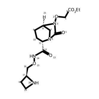 CCOC(=O)CON1C(=O)N2C[C@H]1CC[C@H]2C(=O)NOC[C@@H]1CCN1